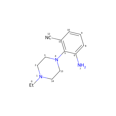 CCN1CCN(c2c(N)cccc2C#N)CC1